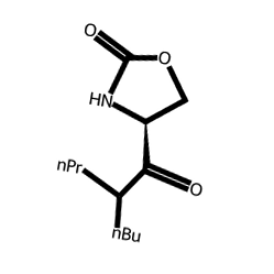 CCCCC(CCC)C(=O)[C@@H]1COC(=O)N1